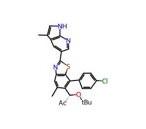 CC(=O)[C@@H](OC(C)(C)C)c1c(C)cc2nc(-c3cnc4[nH]cc(C)c4c3)sc2c1-c1ccc(Cl)cc1